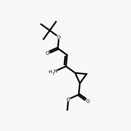 COC(=O)C1CC1C(N)=CC(=O)OC(C)(C)C